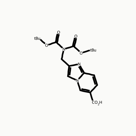 CC(C)(C)OC(=O)N(Cc1cn2cc(C(=O)O)ccc2n1)C(=O)OC(C)(C)C